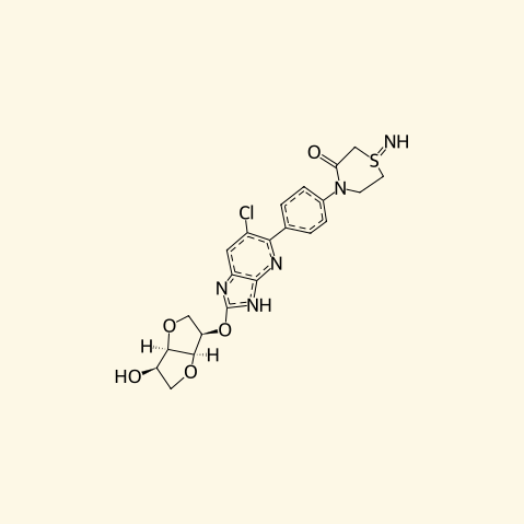 N=S1CCN(c2ccc(-c3nc4[nH]c(O[C@@H]5CO[C@H]6[C@@H]5OC[C@H]6O)nc4cc3Cl)cc2)C(=O)C1